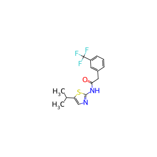 CC(C)c1cnc(NC(=O)Cc2cccc(C(F)(F)F)c2)s1